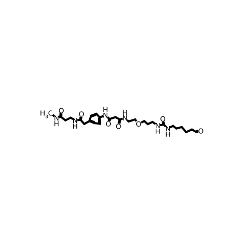 CNC(=O)CCNC(=O)Cc1ccc(NC(=O)CC(=O)NCCOCCCNC(=O)NCCCCCC=O)cc1